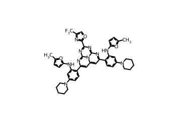 Cc1ccc(Nc2cc(N3CCCCC3)ccc2C2=CC3=CC(c4ccc(N5CCCCC5)cc4Nc4ccc(C)o4)=NC4=NC(c5nc(C(F)(F)F)co5)=NC(=N2)N34)o1